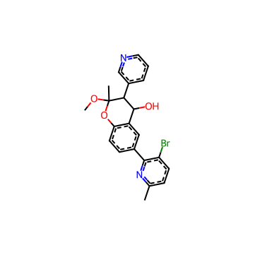 COC1(C)Oc2ccc(-c3nc(C)ccc3Br)cc2C(O)C1c1cccnc1